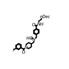 CCCCCCCCCCCCNC(=O)c1ccc(CN(O)CC2CCN(C(=O)c3cccc(I)c3)CC2)cc1